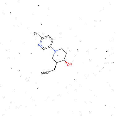 COC[C@H]1CN(c2ccc(C(C)C)nc2)CC[C@H]1O